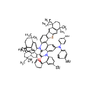 CC(C)(C)c1ccc(N(c2ccc(C(C)(C)C)cc2)c2cc3c4c(c2)N(c2ccc(C(C)(C)C)cc2-c2ccccc2)c2oc5cc6c(cc5c2B4N(c2ccc4c(c2)C(C)(C)CCC4(C)C)c2ccc4c(sc5cc7c(cc54)C(C)(C)CCC7(C)C)c2-3)C(C)(C)CCC6(C)C)cc1